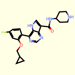 O=C(NC1CCNCC1)c1c[nH]c2c(-c3ccc(F)cc3OCC3CC3)ncnc12